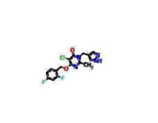 Cc1nc(OCc2ccc(F)cc2F)c(Cl)c(=O)n1Cc1cn[nH]c1